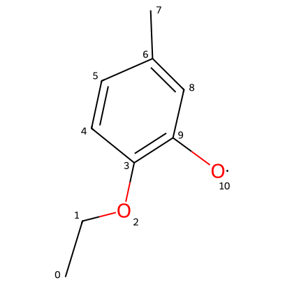 CCOc1ccc(C)cc1[O]